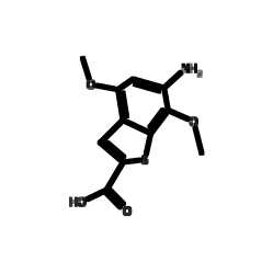 COc1cc(N)c(OC)c2sc(C(=O)O)cc12